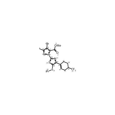 COC(=O)c1c(Br)c(C)nn1-c1nc(C2=CCC(C(F)(F)F)CC2)c(SC(C)C)s1